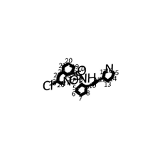 O=S(=O)(Nc1ccccc1C#Cc1cccnc1)c1cccc2cc(Cl)cnc12